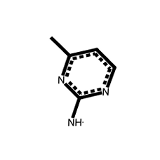 Cc1ccnc([NH])n1